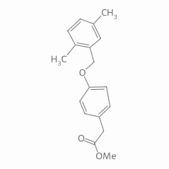 COC(=O)Cc1ccc(OCc2cc(C)ccc2C)cc1